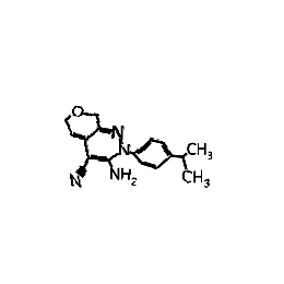 CC(C)c1ccc(N2N=C3COCC=C3C(C#N)=C2N)cc1